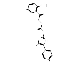 Cc1ccc(C)c(C(=O)CCC(=O)Nc2nc(-c3ccc(F)cc3)c(C)s2)c1